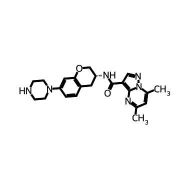 Cc1cc(C)n2ncc(C(=O)N[C@H]3COc4cc(N5CCNCC5)ccc4C3)c2n1